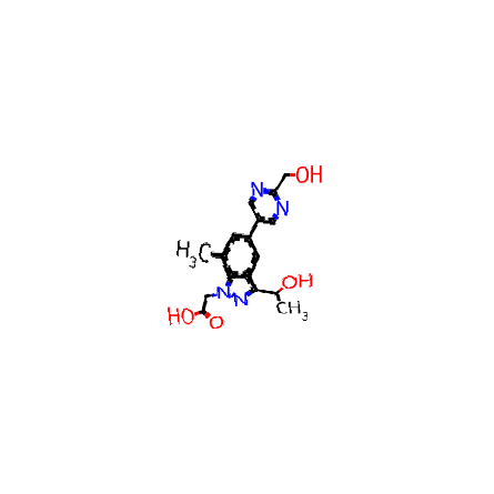 Cc1cc(-c2cnc(CO)nc2)cc2c(C(C)O)nn(CC(=O)O)c12